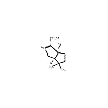 CCOC(=O)[C@H]1NC[C@H]2[C@@H]1CCC2(C)C